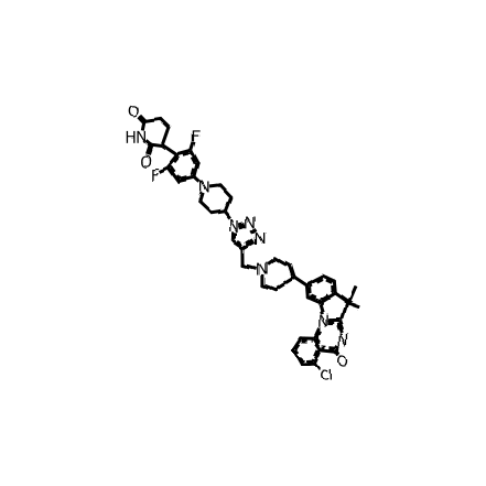 CC1(C)c2ccc(C3CCN(Cc4cn(C5CCN(c6cc(F)c(C7CCC(=O)NC7=O)c(F)c6)CC5)nn4)CC3)cc2-n2c1nc(=O)c1c(Cl)cccc12